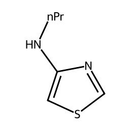 CCCNc1cscn1